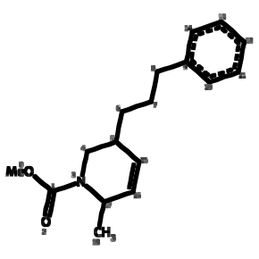 COC(=O)N1CC(CCCc2ccccc2)C=CC1C